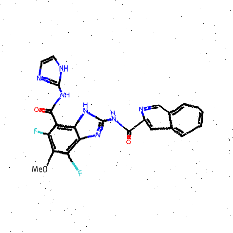 COc1c(F)c(C(=O)Nc2ncc[nH]2)c2[nH]c(NC(=O)c3cc4ccccc4cn3)nc2c1F